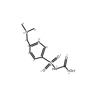 CCCCCCCCC(=O)NS(=O)(=O)c1ccc(CN(C)C)nc1